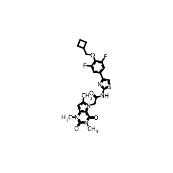 Cc1cc2c(c(=O)n(C)c(=O)n2C)n1CC(=O)Nc1nc(-c2cc(F)c(OCC3CCC3)c(F)c2)cs1